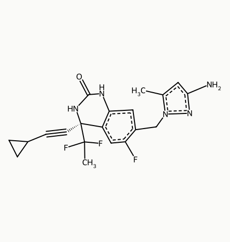 Cc1cc(N)nn1Cc1cc2c(cc1F)[C@@](C#CC1CC1)(C(C)(F)F)NC(=O)N2